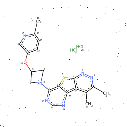 Cc1nnc2sc3c(N4CC(Oc5ccc(C#N)nc5)C4)ncnc3c2c1C.Cl.Cl